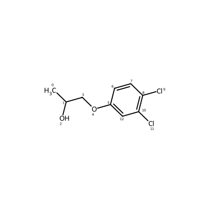 CC(O)COc1ccc(Cl)c(Cl)c1